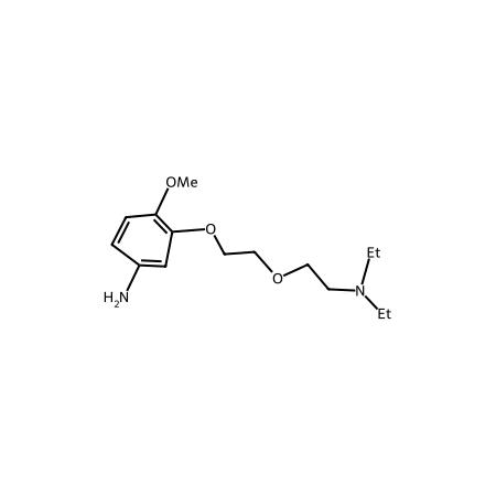 CCN(CC)CCOCCOc1cc(N)ccc1OC